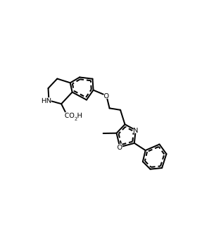 Cc1oc(-c2ccccc2)nc1CCOc1ccc2c(c1)C(C(=O)O)NCC2